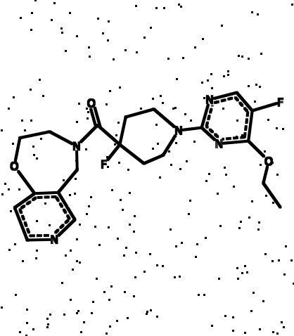 CCOc1nc(N2CCC(F)(C(=O)N3CCOc4ccncc4C3)CC2)ncc1F